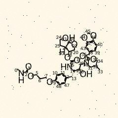 CNC(=O)OCCCOc1ccc(C[C@H](NC(=O)O[C@H]2CO[C@H]3OCC[C@H]32)[C@H](O)CN(CC(C)C)S(=O)(=O)c2ccc3c(c2)OCO3)cc1